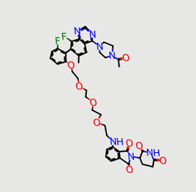 CC(=O)N1CCN(c2ncnc3c(F)c(-c4c(F)cccc4OCCOCCOCCOCCNc4cccc5c4C(=O)N(C4CCC(=O)NC4=O)C5=O)c(C)cc23)CC1